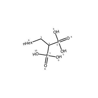 CCCCCCCC(P(=O)(O)O)P(=O)(O)O